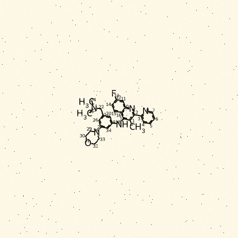 Cc1c(-c2ccccn2)nc2cc(F)ccc2c1Nc1cc(CN(C)C)cc(N2CCOCC2)c1